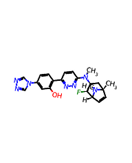 CN(c1ccc(-c2ccc(-n3cnnc3)cc2O)nn1)[C@H]1C[C@]2(C)C=C[C@H]([C@H]1F)N2C